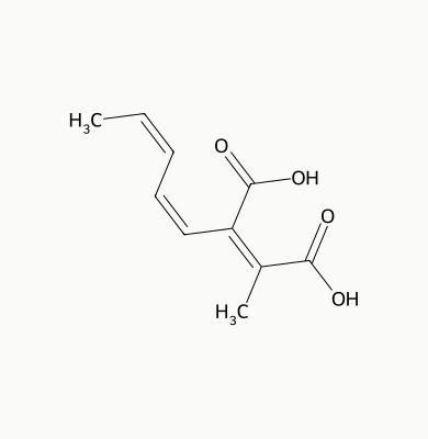 C\C=C/C=C\C(C(=O)O)=C(/C)C(=O)O